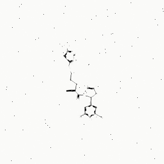 C=C(CCCOc1cc(C#N)on1)C(=O)N1N=CCC1c1cc(F)cc(F)c1